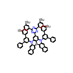 CC(C)(C)c1cc(-c2nc(-c3cc(C(C)(C)C)cc(C(C)(C)C)c3)nc(-c3cc4c5c(c3)N(c3cc(-c6ccccc6)cc(-c6ccccc6)c3)c3cc6ccccc6cc3B5c3cc5ccccc5cc3N4c3cc(-c4ccccc4)cc(-c4ccccc4)c3)n2)cc(C(C)(C)C)c1